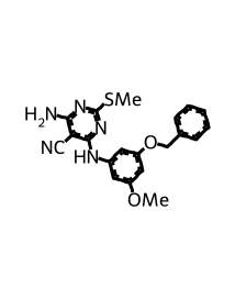 COc1cc(Nc2nc(SC)nc(N)c2C#N)cc(OCc2ccccc2)c1